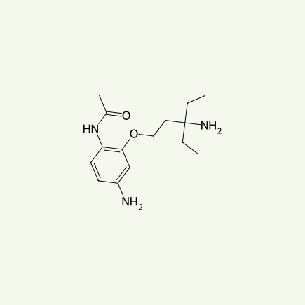 CCC(N)(CC)CCOc1cc(N)ccc1NC(C)=O